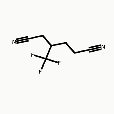 N#CCCC(CC#N)C(F)(F)F